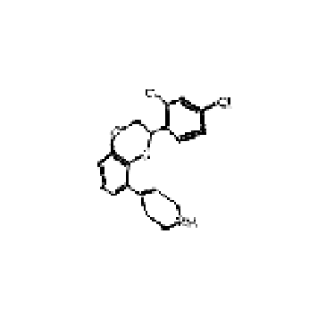 Clc1ccc([C@@H]2COc3cccc(C4CCNCC4)c3O2)c(Cl)c1